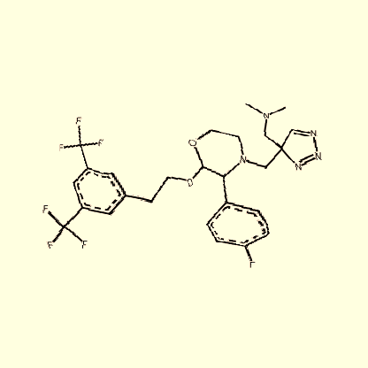 CN(C)CC1(CN2CCOC(OCCc3cc(C(F)(F)F)cc(C(F)(F)F)c3)C2c2ccc(F)cc2)C=NN=N1